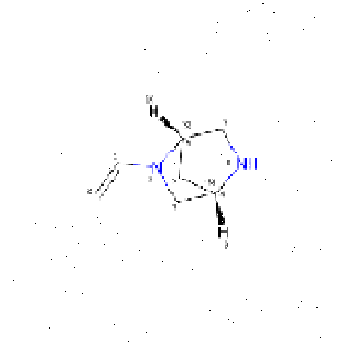 C=CN1C[C@@H]2C[C@H]1CN2